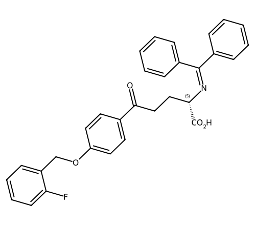 O=C(CC[C@H](N=C(c1ccccc1)c1ccccc1)C(=O)O)c1ccc(OCc2ccccc2F)cc1